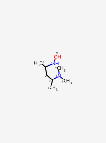 CC(CC(C)N(C)C)NO